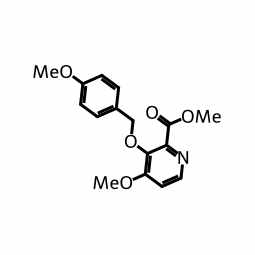 COC(=O)c1nccc(OC)c1OCc1ccc(OC)cc1